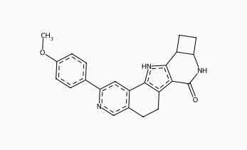 COc1ccc(-c2cc3c(cn2)CCc2c-3[nH]c3c2C(=O)NC2CCC32)cc1